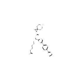 CCC(=O)CCCCC[C@H](NC(=O)[C@H]1CC12CCN(CC)CC2)c1ncc(-c2ccc(-c3ncco3)cc2)o1